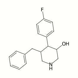 OC1CNCC(Cc2ccccc2)C1c1ccc(F)cc1